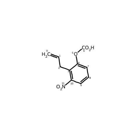 C=CCc1c(OC(=O)O)cccc1[N+](=O)[O-]